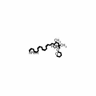 CCCCC/C=C\C/C=C\C/C=C\C/C=C\C/C=C\CCC(O)C(C)CC(C)(C)COC1CCCCO1